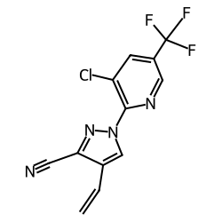 C=Cc1cn(-c2ncc(C(F)(F)F)cc2Cl)nc1C#N